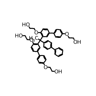 CC(c1ccc(-c2ccccc2)cc1)(c1cc(-c2ccc(OCCO)cc2)ccc1OCCO)c1cc(-c2ccc(OCCO)cc2)ccc1OCCO